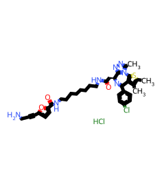 Cc1sc2c(c1C)C(c1ccc(Cl)cc1)=N[C@@H](CC(=O)NCCCCCCCCNC(=O)c1ccc(C#CCN)o1)c1nnc(C)n1-2.Cl